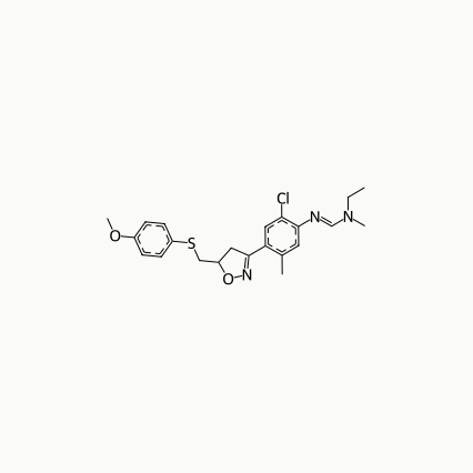 CCN(C)C=Nc1cc(C)c(C2=NOC(CSc3ccc(OC)cc3)C2)cc1Cl